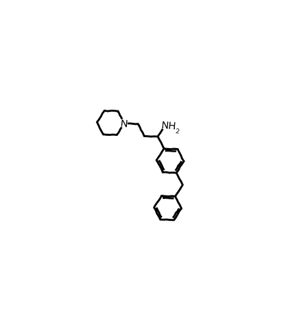 NC(CCN1CCCCC1)c1ccc(Cc2ccccc2)cc1